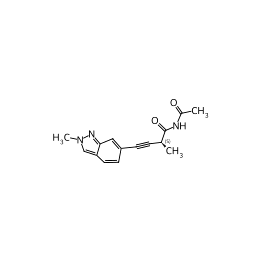 CC(=O)NC(=O)[C@@H](C)C#Cc1ccc2cn(C)nc2c1